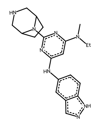 CCN(C)c1cc(Nc2ccc3[nH]ncc3c2)nc(N2C3CCC2CNC3)n1